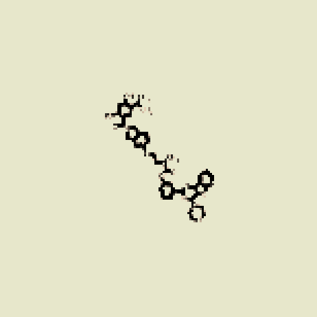 CC(C)c1cc(C(=O)N2Cc3ccc(OCCN(C)C(=O)Oc4cccc(-c5nc(N6CCOCC6)c6oc7ncccc7c6n5)c4)cc3C2)c(O)cc1O